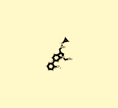 CC(C)(C)Cn1cc(CNSC2CC2)c2ccc(-c3ccccc3C(F)(F)F)cc21